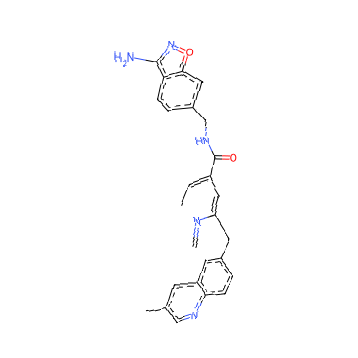 C=N/C(=C\C(=C/C)C(=O)NCc1ccc2c(N)noc2c1)Cc1ccc2ncc(C)cc2c1